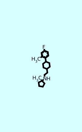 Cc1cc(F)ccc1C1CCC(CCNC2(C)CCCC2)CC1